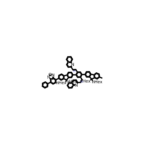 CCCCCCC1(CCCCCC)c2cc(C)ccc2-c2ccc(-c3cc(/C=C/c4ccc5ccccc5n4)c(-c4ccc5c(c4)C(CCCCCC)(CCCCCC)c4cc(-c6ccc(-c7ccccc7)c7nonc67)ccc4-5)cc3/C=C\c3ccc4ccccc4n3)cc21